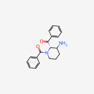 NC1CCCN(C(=O)c2ccccc2)[C@@H]1C(=O)c1ccccc1